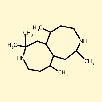 CC1CC2C(C)CCNC(C)(C)CC2C(C)CCN1